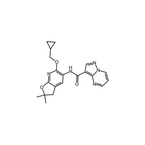 CC1(C)Cc2cc(NC(=O)c3cnn4cccnc34)c(OCC3CC3)nc2O1